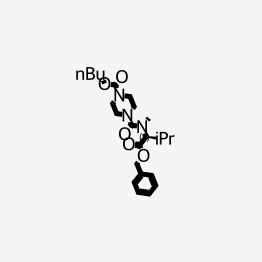 CCCCOC(=O)N1CCN(C(=O)N(C)[C@H](C(=O)OCc2ccccc2)C(C)C)CC1